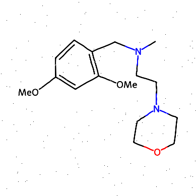 COc1ccc(CN(C)CCN2CCOCC2)c(OC)c1